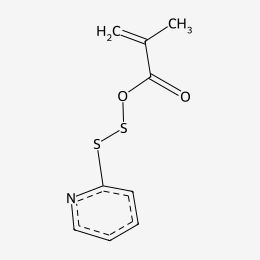 C=C(C)C(=O)OSSc1ccccn1